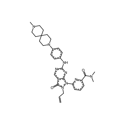 C=CCn1c(=O)c2cnc(Nc3ccc(N4CCC5(CCN(C)CC5)CC4)cc3)nc2n1-c1cccc(C(=O)N(C)C)n1